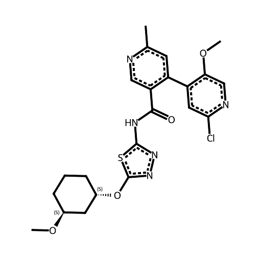 COc1cnc(Cl)cc1-c1cc(C)ncc1C(=O)Nc1nnc(O[C@H]2CCC[C@H](OC)C2)s1